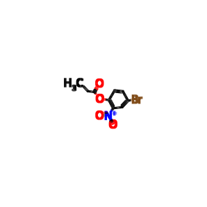 CCC(=O)Oc1ccc(Br)cc1[N+](=O)[O-]